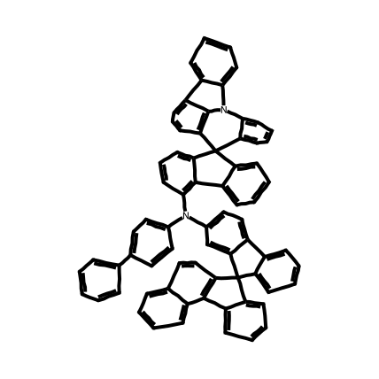 c1ccc(-c2ccc(N(c3ccc4c(c3)C3(c5ccccc5-4)c4ccccc4-c4c3ccc3ccccc43)c3cccc4c3-c3ccccc3C43c4ccccc4-n4c5ccccc5c5cccc3c54)cc2)cc1